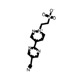 N#Cc1cnc(-c2cc[n+](CCS(=O)(=O)[O-])nc2)nc1